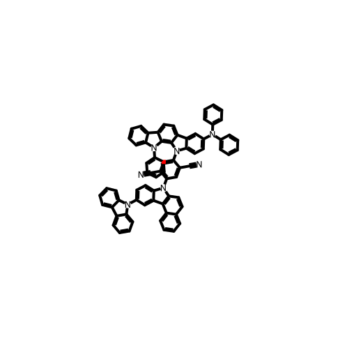 N#Cc1cc(-n2c3ccc(N(c4ccccc4)c4ccccc4)cc3c3ccc4c5ccccc5n(-c5ccccc5)c4c32)c(C#N)cc1-n1c2ccc(-n3c4ccccc4c4ccccc43)cc2c2c3ccccc3ccc21